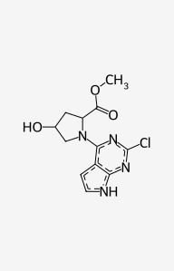 COC(=O)C1CC(O)CN1c1nc(Cl)nc2[nH]ccc12